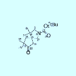 CC(C)(C)OC(=O)N1CC(C)(C)C2(CC(=O)C(C)(C)C2)C1